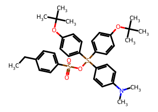 CCc1ccc(S(=O)(=O)OS(c2ccc(OC(C)(C)C)cc2)(c2ccc(OC(C)(C)C)cc2)c2ccc(N(C)C)cc2)cc1